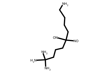 NCCCCC(CCCC(N)(N)N)(N=O)N=O